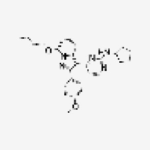 CCCCOc1cccc2c(-c3ccnc(NC4CCCC4)n3)c(-c3ccc(OC)cc3)nn12